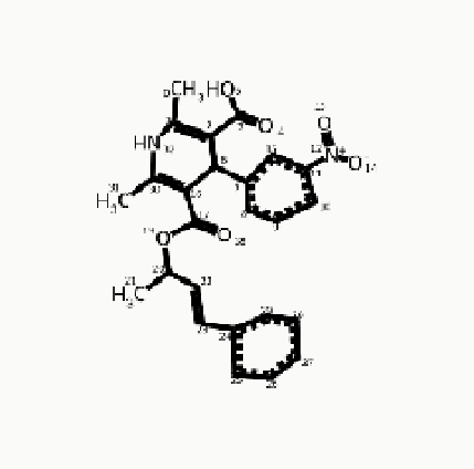 CC1=C(C(=O)O)C(c2cccc([N+](=O)[O-])c2)C(C(=O)OC(C)C=Cc2ccccc2)=C(C)N1